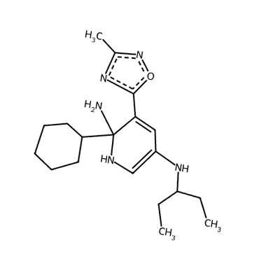 CCC(CC)NC1=CNC(N)(C2CCCCC2)C(c2nc(C)no2)=C1